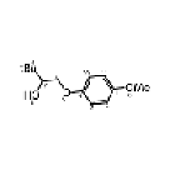 COc1ccc(OCC(O)C(C)(C)C)cc1